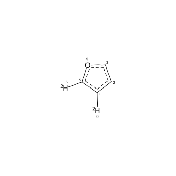 [2H]c1ccoc1[2H]